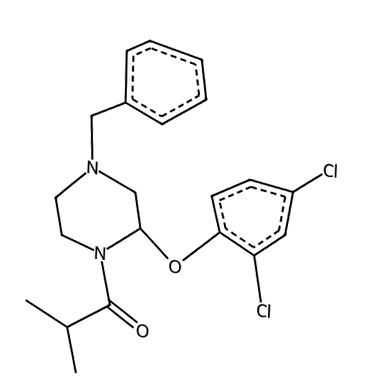 CC(C)C(=O)N1CCN(Cc2ccccc2)CC1Oc1ccc(Cl)cc1Cl